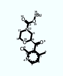 Cc1ccnc(Cl)c1C(=O)[C@@H]1CN(C(=O)OC(C)(C)C)CCO1